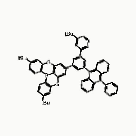 CC(C)(C)c1cccc(-c2cc(-c3cc4c5c(c3)Sc3cc(C(C)(C)C)ccc3B5c3ccc(C(C)(C)C)cc3S4)cc(-c3c4ccccc4c(-c4ccccc4)c4ccccc34)c2)c1